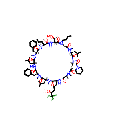 CCCCN1CC(=O)N(C)[C@@H](CC(C)C)C(=O)N[C@H](C(=O)N2CCCCC2)CC(=O)N(C)[C@@H](C)C(=O)N[C@@H](CCCC(O)C(F)(F)F)C(=O)N(C)[C@@H](CC(C)C)C(=O)N(C)[C@@H](Cc2ccccc2)C(=O)N[C@@H](CC(C)C)C(=O)N(C)[C@@H](Cc2ccccc2)C(=O)N(C)C([C@@H](C)CC)C(=O)N[C@@H]([C@@H](C)O)C1=O